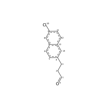 O=CCCc1ccc2cc(Cl)ccc2c1